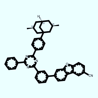 C[C@@H]1C[C@@H]2C[C@H](C)CC(c3ccc(-c4nc(-c5ccccc5)nc(-c5cccc(-c6ccc7c(c6)oc6ccc(C#N)cc67)c5)n4)cc3)(C1)C2